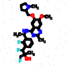 COc1cc2nc(C)nc(N[C@H](C)c3cccc(C(F)C(C)(O)CF)c3F)c2cc1OCC1CCCN1C